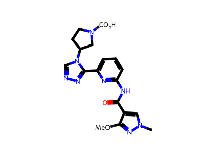 COc1nn(C)cc1C(=O)Nc1cccc(-c2nncn2C2CCN(C(=O)O)C2)n1